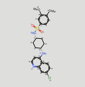 COc1ccc(S(=O)(=O)N[C@H]2CC[C@@H](Nc3ccnc4cc(Cl)ccc34)CC2)cc1OC